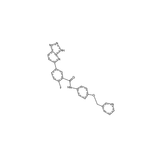 O=C(Nc1ccc(OCc2cccnc2)cc1)c1cc(-c2ccc3nn[nH]c3n2)ccc1F